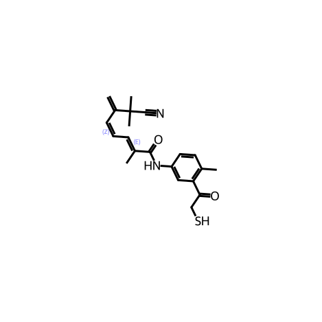 C=C(/C=C\C=C(/C)C(=O)Nc1ccc(C)c(C(=O)CS)c1)C(C)(C)C#N